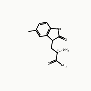 Cc1ccc2c(c1)C(C[C@H](N)C(N)=O)C(=O)N2